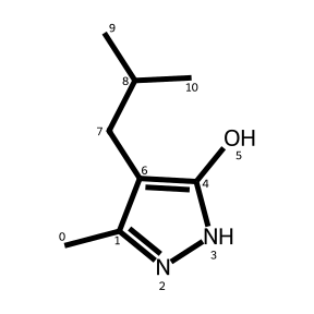 Cc1n[nH]c(O)c1CC(C)C